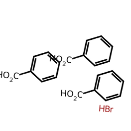 Br.O=C(O)c1ccccc1.O=C(O)c1ccccc1.O=C(O)c1ccccc1